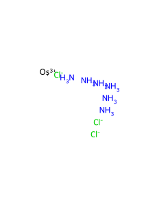 N.N.N.N.N.N.[Cl-].[Cl-].[Cl-].[Os+3]